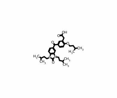 CC(C)CCOc1ccc(C(=O)c2ccc3c(c2)n(CCC(C)C)c(=O)n3CCC(C)C)cc1CC(=O)O